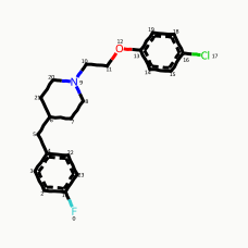 Fc1ccc(CC2CCN(CCOc3ccc(Cl)cc3)CC2)cc1